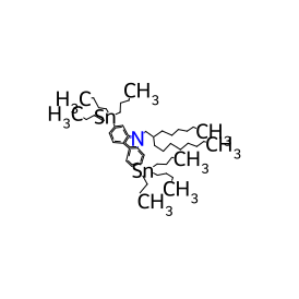 CCCCCCCCC(CCCCCC)Cn1c2c[c]([Sn]([CH2]CCC)([CH2]CCC)[CH2]CCC)ccc2c2cc[c]([Sn]([CH2]CCC)([CH2]CCC)[CH2]CCC)cc21